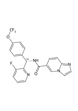 O=C(N[C@@H](c1ccc(OC(F)(F)F)cc1)c1ncccc1F)c1ccc2nccn2c1